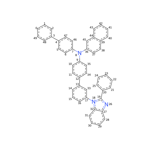 c1ccc(-c2ccc(N(c3ccc(-c4cccc(-n5c(-c6ccccc6)nc6ccccc65)c4)cc3)c3ccc4ccccc4c3)cc2)cc1